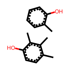 Cc1ccc(O)c(C)c1C.Cc1ccccc1O